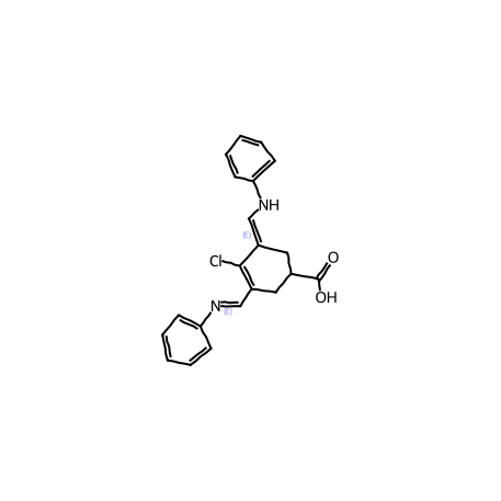 O=C(O)C1CC(/C=N/c2ccccc2)=C(Cl)C(=C/Nc2ccccc2)/C1